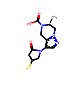 C[C@H]1Cn2ncc(N3CC(S)CC3=O)c2CN1C(=O)O